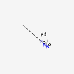 CCCCCCCCCCCCCCCCCCCCC/C=C/c1cccc(/N=C(/C=N\c2ccccc2)CCCCC)c1.[Pd]